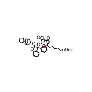 CCCCCCCCCCCCCCCC(=O)OC(C)OC(C(=O)OC1CC2CCC(C1)[N+]21CCCC1)(c1ccccc1)c1ccccc1.O=C[O-]